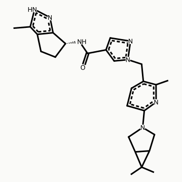 Cc1nc(N2CC3C(C2)C3(C)C)ccc1Cn1cc(C(=O)N[C@@H]2CCc3c2n[nH]c3C)cn1